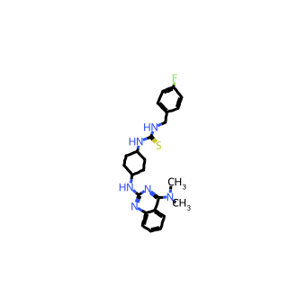 CN(C)c1nc(NC2CCC(NC(=S)NCc3ccc(F)cc3)CC2)nc2ccccc12